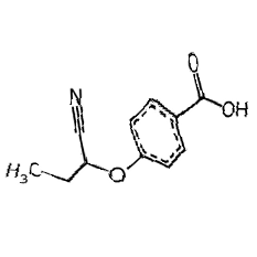 CCC(C#N)Oc1ccc(C(=O)O)cc1